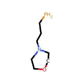 PCCCN1CCOCC1